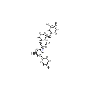 N=N/C(=C\Nc1ccc(F)cc1)c1ccc2c(Oc3ccc(F)c(I)c3)cccc2n1